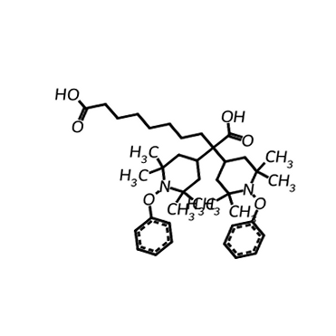 CC1(C)CC(C(CCCCCCCC(=O)O)(C(=O)O)C2CC(C)(C)N(Oc3ccccc3)C(C)(C)C2)CC(C)(C)N1Oc1ccccc1